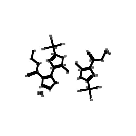 CCOC(=O)c1ncoc1-c1nc(C(F)(F)F)sc1C.Cc1sc(C(F)(F)F)nc1C(=O)CN.Cl